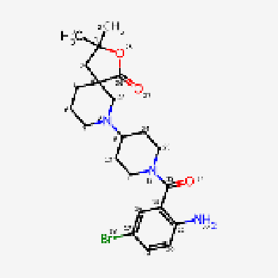 CC1(C)CC2(CCCN(C3CCN(C(=O)c4cc(Br)ccc4N)CC3)C2)C(=O)O1